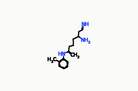 C=C(CCCC(N)CC=N)Nc1ccccc1C